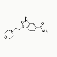 NC(=O)c1ccc2c(c1)NON2CCN1CCOCC1